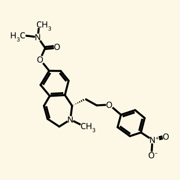 CN(C)C(=O)Oc1ccc2c(c1)C=CCN(C)[C@H]2CCOc1ccc([N+](=O)[O-])cc1